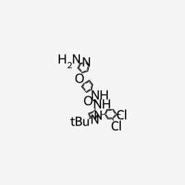 CC(C)(C)c1cc(NC(=O)Nc2ccc(Oc3ccnc(N)c3)cc2)n(-c2ccc(Cl)c(Cl)c2)n1